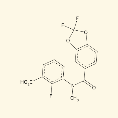 CN(C(=O)c1ccc2c(c1)OC(F)(F)O2)c1cccc(C(=O)O)c1F